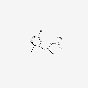 Cc1ccc(Cl)cc1CC(=O)OC(N)=O